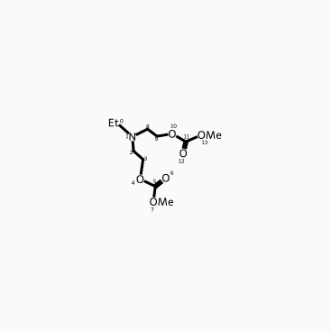 CCN(CCOC(=O)OC)CCOC(=O)OC